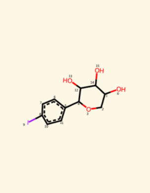 OC1COC(c2ccc(I)cc2)C(O)C1O